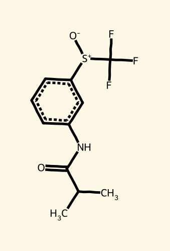 CC(C)C(=O)Nc1cccc([S+]([O-])C(F)(F)F)c1